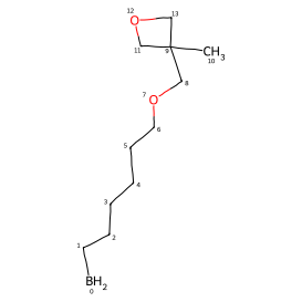 BCCCCCCOCC1(C)COC1